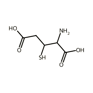 NC(C(=O)O)C(S)CC(=O)O